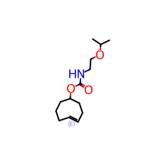 CC(C)OCCNC(=O)OC1CC/C=C/CCC1